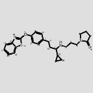 O=C1CCCN1CCCNC(CCc1ccc(Oc2nc3ccccc3s2)cc1)C1CC1